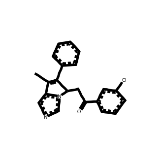 CC1=C(c2ccccc2)C(CC(=O)c2cccc(Cl)c2)n2cncc21